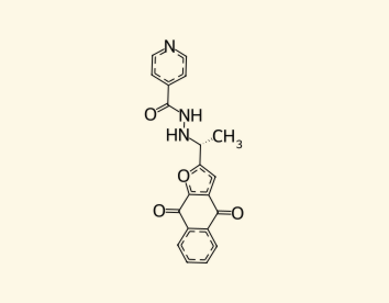 C[C@@H](NNC(=O)c1ccncc1)c1cc2c(o1)C(=O)c1ccccc1C2=O